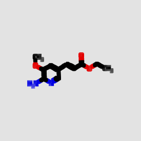 CCOC(=O)/C=C/c1cnc(N)c(OC)c1